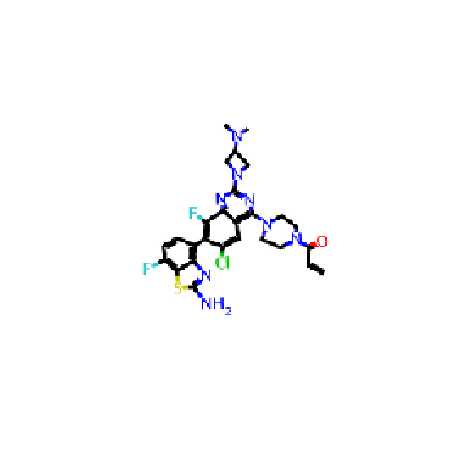 C=CC(=O)N1CCN(c2nc(N3CC(N(C)C)C3)nc3c(F)c(-c4ccc(F)c5sc(N)nc45)c(Cl)cc23)CC1